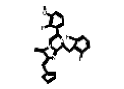 C=c1/c(=C/C2=CC=CC2)nc2c(Cc3c(F)cccc3F)nc(-c3cccc(OC)c3F)cn12